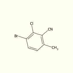 Cc1ccc(Br)c(Cl)c1C#N